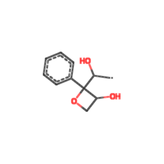 [CH2]C(O)C1(c2ccccc2)OCC1O